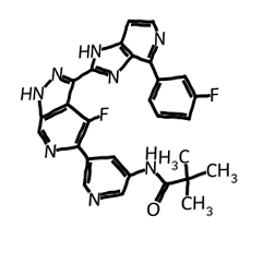 CC(C)(C)C(=O)Nc1cncc(-c2ncc3[nH]nc(-c4nc5c(-c6cccc(F)c6)nccc5[nH]4)c3c2F)c1